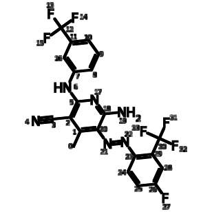 Cc1c(C#N)c(Nc2cccc(C(F)(F)F)c2)nc(N)c1N=Nc1ccc(F)cc1C(F)(F)F